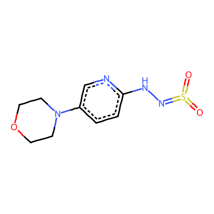 O=S(=O)=NNc1ccc(N2CCOCC2)cn1